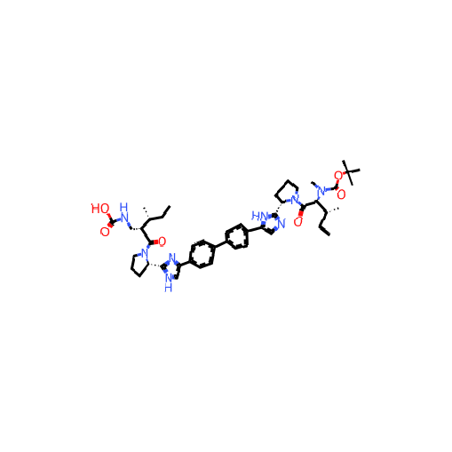 CC[C@@H](C)[C@@H](C(=O)N1CCC[C@H]1c1ncc(-c2ccc(-c3ccc(-c4c[nH]c([C@@H]5CCCN5C(=O)[C@H](CNC(=O)O)[C@H](C)CC)n4)cc3)cc2)[nH]1)N(C)C(=O)OC(C)(C)C